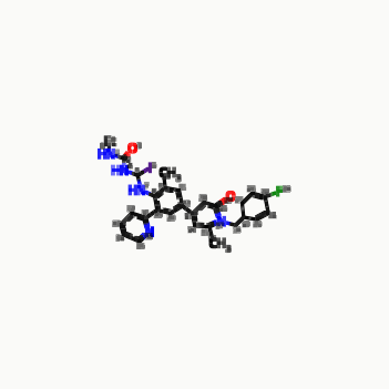 CCNC(=O)NC(I)Nc1c(C)cc(-c2cc(C)n(CC3C=CC(F)=CC3)c(=O)c2)cc1-c1ccccn1